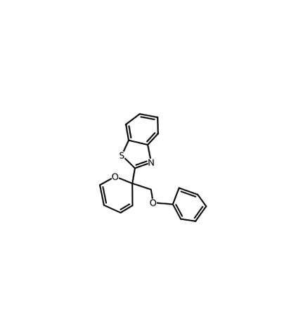 C1=COC(COc2ccccc2)(c2nc3ccccc3s2)C=C1